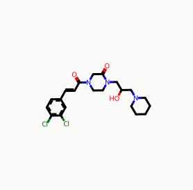 O=C(C=Cc1ccc(Cl)c(Cl)c1)N1CCN(CC(O)CN2CCCCC2)C(=O)C1